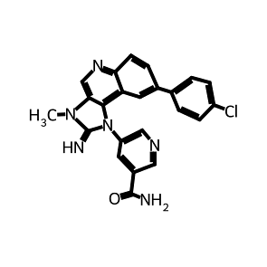 Cn1c(=N)n(-c2cncc(C(N)=O)c2)c2c3cc(-c4ccc(Cl)cc4)ccc3ncc21